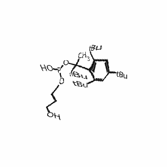 CCCCC(C)(OP(O)OCCCO)c1c(C(C)(C)C)cc(C(C)(C)C)cc1C(C)(C)C